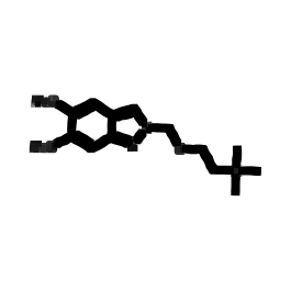 COc1cc2cn(COCC[Si](C)(C)C)nc2cc1OC